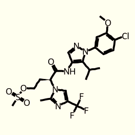 COc1cc(-n2ncc(NC(=O)[C@H](CCOS(C)(=O)=O)n3cc(C(F)(F)F)nc3C)c2C(C)C)ccc1Cl